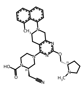 Cc1cccc2cccc(N3CCc4c(nc(OC[C@@H]5CCCN5C)nc4N4CCN(C(=O)O)[C@H](CC#N)C4)C3)c12